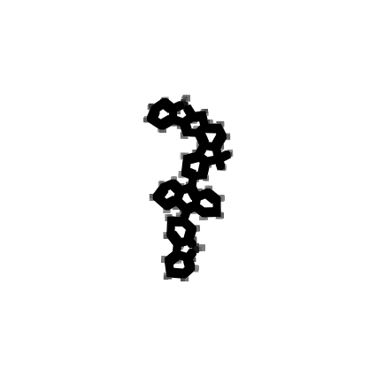 CC1(C)c2cc(-c3c4ccccc4c(-c4ccc5c(c4)sc4ccccc45)c4ccccc34)ccc2-c2c1ccc1cc3sc4ccccc4c3cc21